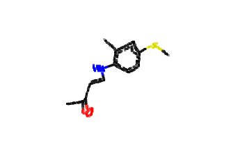 CSc1ccc(N/C=C/C(C)=O)c(C)c1